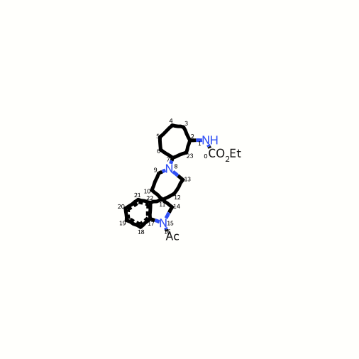 CCOC(=O)NC1CCCCC(N2CCC3(CC2)CN(C(C)=O)c2ccccc23)C1